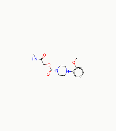 CNC(=O)COC(=O)N1CCN(c2ccccc2OC)CC1